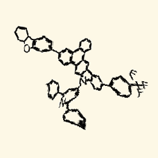 FC(F)(F)c1ccc(-c2ccc3c(c2)c2cc4c5ccccc5c5cc(-c6ccc7c(c6)OC6C=CC=CC76)ccc5c4cc2n3-c2cc(-c3ccccc3)nc(-c3ccccc3)c2)cc1